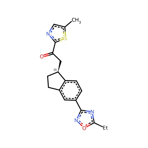 CCc1nc(-c2ccc3c(c2)CC[C@H]3CC(=O)c2ncc(C)s2)no1